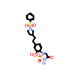 O=C1CN(c2ccc(CCC3CCN(S(=O)(=O)c4ccccc4)C3)cc2O)S(=O)(=O)N1